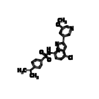 COc1cncc(-c2cc3c(Cl)ccc(NS(=O)(=O)c4ccc(C(C)C)cc4)n3n2)c1